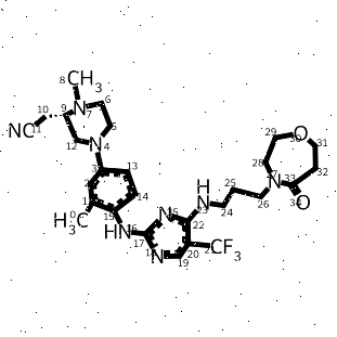 Cc1cc(N2CCN(C)[C@@H](CC#N)C2)ccc1Nc1ncc(C(F)(F)F)c(NCCCN2CCOCCC2=O)n1